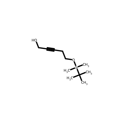 CC(C)(C)[Si](C)(C)OCCC#CCO